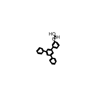 OBOc1cccc(-c2cc(-c3ccccc3)cc(-c3ccccc3)c2)c1